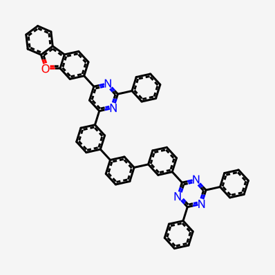 c1ccc(-c2nc(-c3cccc(-c4cccc(-c5cccc(-c6nc(-c7ccccc7)nc(-c7ccccc7)n6)c5)c4)c3)cc(-c3ccc4c(c3)oc3ccccc34)n2)cc1